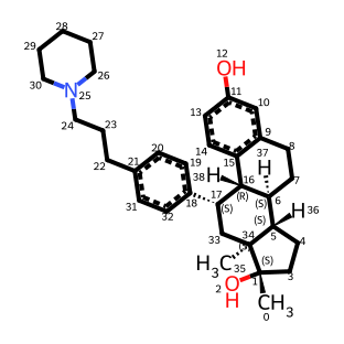 C[C@]1(O)CC[C@H]2[C@@H]3CCc4cc(O)ccc4[C@H]3[C@@H](c3ccc(CCCN4CCCCC4)cc3)C[C@@]21C